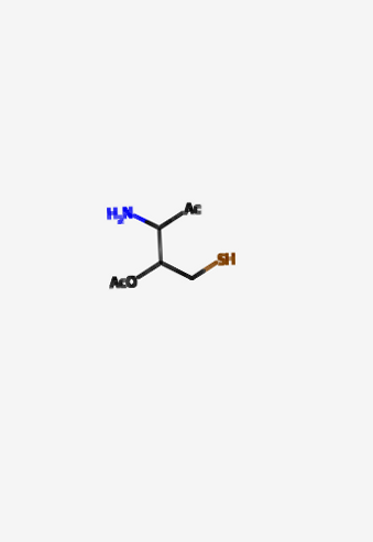 CC(=O)OC(CS)C(N)C(C)=O